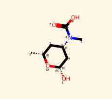 C[C@@H]1C[C@H](N(C)C(=O)O)C[C@H](O)O1